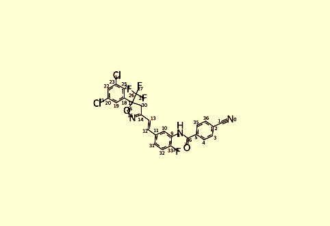 N#Cc1ccc(C(=O)Nc2cc(C=CC3=NOC(c4cc(Cl)cc(Cl)c4)(C(F)(F)F)C3)ccc2F)cc1